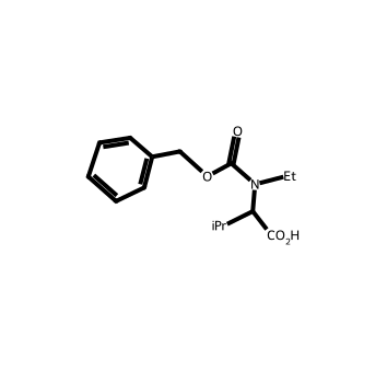 CCN(C(=O)OCc1ccccc1)C(C(=O)O)C(C)C